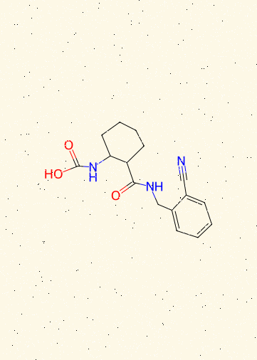 N#Cc1ccccc1CNC(=O)C1CCCCC1NC(=O)O